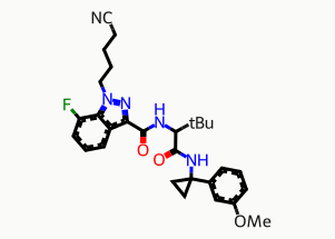 COc1cccc(C2(NC(=O)C(NC(=O)c3nn(CCCCC#N)c4c(F)cccc34)C(C)(C)C)CC2)c1